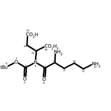 CC(C)(C)OC(=O)N(C(=O)C(N)CCCN)C(CC(=O)O)C(=O)O